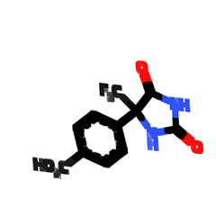 O=C1NC(=O)C(c2ccc(C(=O)O)cc2)(C(F)(F)F)N1